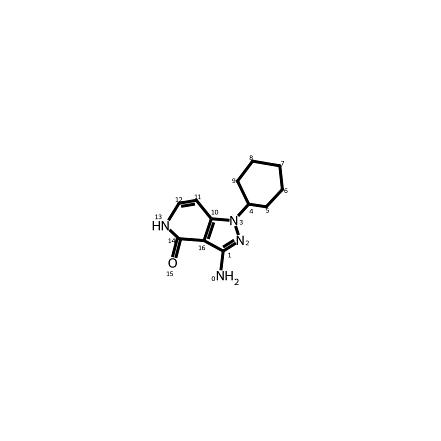 Nc1nn(C2CCCCC2)c2cc[nH]c(=O)c12